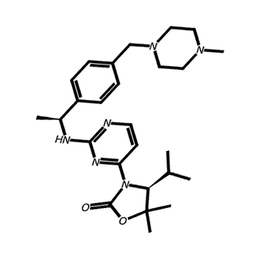 CC(C)[C@@H]1N(c2ccnc(N[C@@H](C)c3ccc(CN4CCN(C)CC4)cc3)n2)C(=O)OC1(C)C